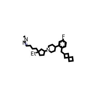 C=N/N=C\CCCC1(CC)CCC(N2CCC(c3cc(F)ccc3CC3CC4(CCC4)C3)CC2)C1